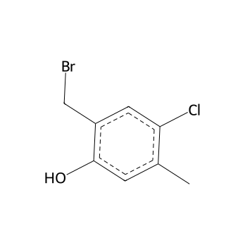 Cc1cc(O)c(CBr)cc1Cl